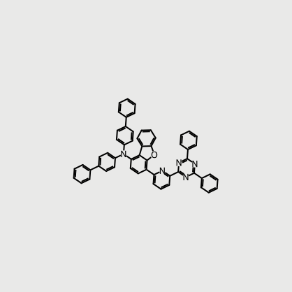 c1ccc(-c2ccc(N(c3ccc(-c4ccccc4)cc3)c3ccc(-c4cccc(-c5nc(-c6ccccc6)nc(-c6ccccc6)n5)n4)c4oc5ccccc5c34)cc2)cc1